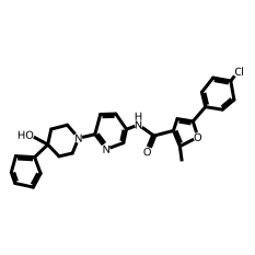 Cc1oc(-c2ccc(Cl)cc2)cc1C(=O)Nc1ccc(N2CCC(O)(c3ccccc3)CC2)nc1